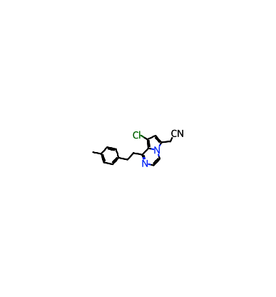 Cc1ccc(CCc2nccn3c(CC#N)cc(Cl)c23)cc1